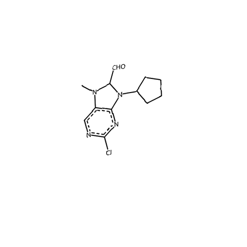 CN1c2cnc(Cl)nc2N(C2CCCC2)C1C=O